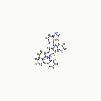 c1ccc(-n2c3cc4c5ccccc5n(-c5cccc6ncsc56)c4cc3c3ccc4ccccc4c32)cc1